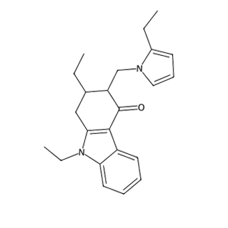 CCc1cccn1CC1C(=O)c2c(n(CC)c3ccccc23)CC1CC